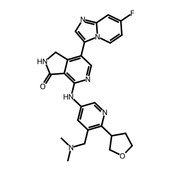 CN(C)Cc1cc(Nc2ncc(-c3cnc4cc(F)ccn34)c3c2C(=O)NC3)cnc1C1CCOC1